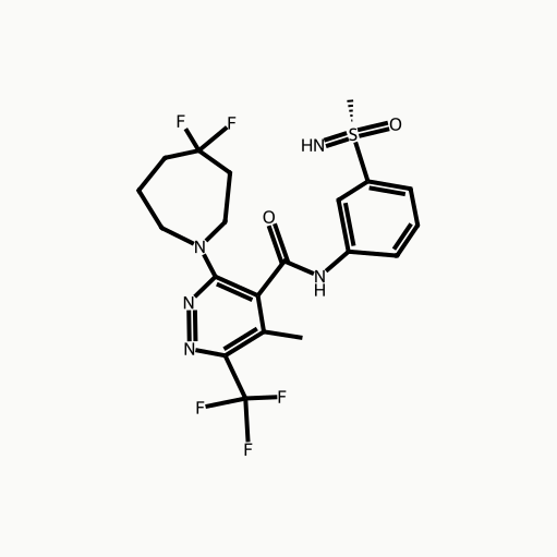 Cc1c(C(F)(F)F)nnc(N2CCCC(F)(F)CC2)c1C(=O)Nc1cccc([S@@](C)(=N)=O)c1